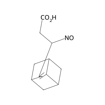 O=NC(CC(=O)O)C1=C2C3CC(C1)CC2C3